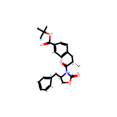 C[C@@H](Cc1ccc(C(=O)OC(C)(C)C)cc1)C(=O)N1C(=O)OCC1Cc1ccccc1